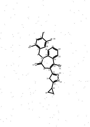 Cc1cc(F)c(CN2C(=O)CC(C3=NN=C(C4CC4)C3)=C(Br)c3ccccc32)cc1F